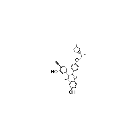 C#Cc1ccc(C2=C(C)c3cc(O)ccc3OC2c2ccc(OCC(C)N3CCC(C)C3)cc2)cc1O